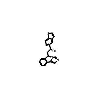 OC(CC1c2ccccc2-c2cncn21)c1ccc2sccc2c1